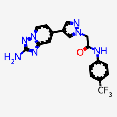 Nc1nc2cc(-c3cnn(CC(=O)Nc4ccc(C(F)(F)F)cc4)c3)ccn2n1